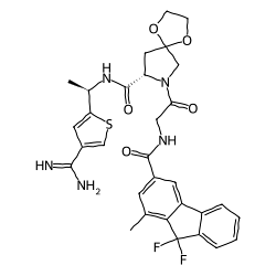 Cc1cc(C(=O)NCC(=O)N2CC3(C[C@H]2C(=O)N[C@H](C)c2cc(C(=N)N)cs2)OCCO3)cc2c1C(F)(F)c1ccccc1-2